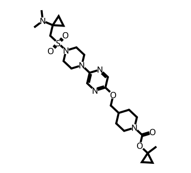 CN(C)C1(CS(=O)(=O)N2CCN(c3cnc(OCC4CCN(C(=O)OC5(C)CC5)CC4)cn3)CC2)CC1